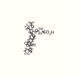 CN(C)C(=O)[C@@H]1CCCN1[C@H]1C[C@@H](CO[C@H]2CC[C@H](C(=O)O)CC2)N(C(=O)Cc2cc(Cl)c(NC(=O)c3csc4c3C=CCC4)cc2F)C1